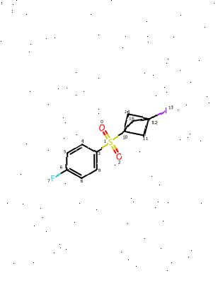 O=S(=O)(c1ccc(F)cc1)C12CC(I)(C1)C2